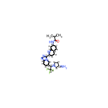 CC(C)C(=O)Nc1ccc2ccc(-c3nnc4ccc(C(N5CC[C@H](N)C5)C(F)(F)F)cn34)nc2c1